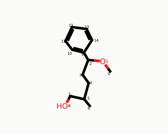 COC(CCC(C)CO)c1ccccc1